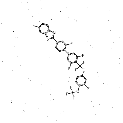 Cc1ccc2nc(-c3ccc(-c4cc(F)c(C(F)(F)Oc5ccc(OC(F)(F)F)c(F)c5)c(F)c4)c(F)c3)sc2c1